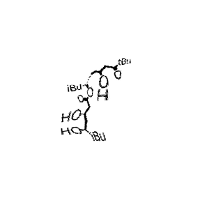 CC[C@@H](C)[C@H](CC(O)CC(=O)C(C)(C)C)OC(=O)C[C@@H](O)C[C@H](O)[C@H](C)CC